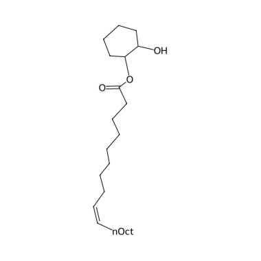 CCCCCCCC/C=C\CCCCCCCC(=O)OC1CCCCC1O